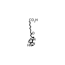 O=C(O)CCCCCCCC(=O)Cc1cnc2c3nc[nH]c3ncn12